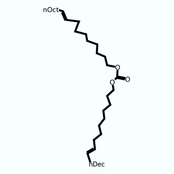 CCCCCCCCC=CCCCCCCCCOC(=O)OCCCCCCCCC=CCCCCCCCCCC